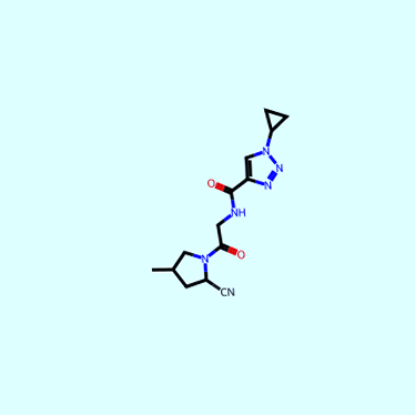 CC1CC(C#N)N(C(=O)CNC(=O)c2cn(C3CC3)nn2)C1